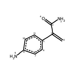 C=C(C(N)=O)c1ccc(N)cc1